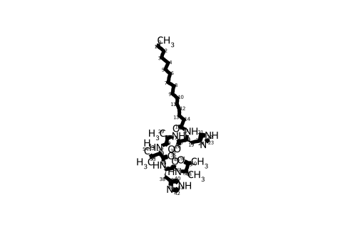 CCCCCCCCCCCCCCCC(=O)N[C@@H](Cc1c[nH]cn1)C(=O)N[C@H](C)C(=O)N[C@H](C(=O)N[C@@H](Cc1c[nH]cn1)C(=O)N[C@@H](C)C(C)=O)C(C)C